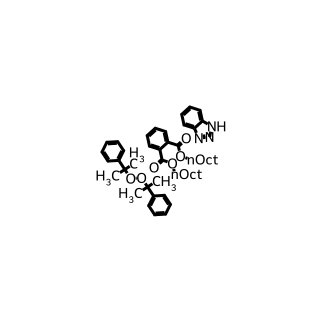 CC(C)(OOC(C)(C)c1ccccc1)c1ccccc1.CCCCCCCCOC(=O)c1ccccc1C(=O)OCCCCCCCC.c1ccc2[nH]nnc2c1